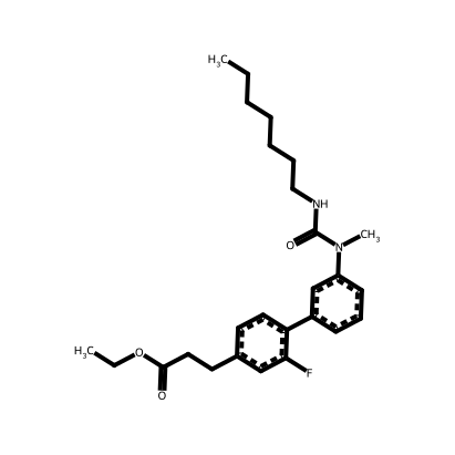 CCCCCCCNC(=O)N(C)c1cccc(-c2ccc(CCC(=O)OCC)cc2F)c1